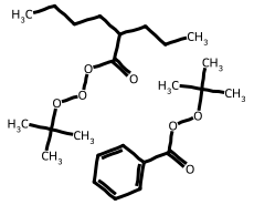 CC(C)(C)OOC(=O)c1ccccc1.CCCCC(CCC)C(=O)OOOC(C)(C)C